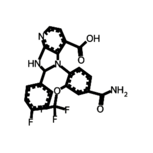 NC(=O)c1ccc(N2c3c(C(=O)O)ccnc3NC2c2ccc(F)cc2)c(OC(F)(F)F)c1